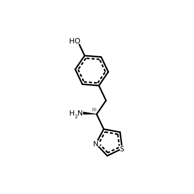 N[C@@H](Cc1ccc(O)cc1)c1cscn1